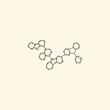 c1ccc(C2c3ccccc3-c3ccc(-c4ccc5c6ccccc6n(-c6ccc(-c7cccc8c7oc7ccccc78)c7ccccc67)c5c4)cc32)cc1